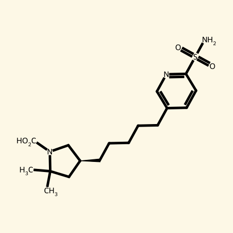 CC1(C)C[C@H](CCCCCc2ccc(S(N)(=O)=O)nc2)CN1C(=O)O